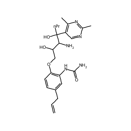 C=CCc1ccc(OCC(O)C(N)C(O)(CCC)c2cnc(C)nc2C)c(NC(N)=O)c1